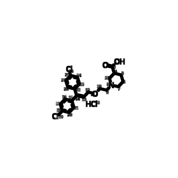 Cl.O=C(O)C1CCCN(CCOCC=C(c2ccc(Cl)cc2)c2ccc(Cl)cc2)C1